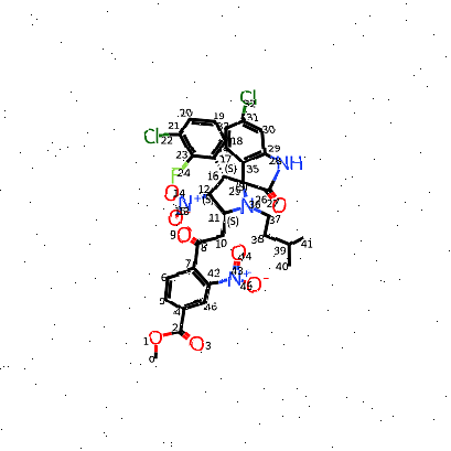 COC(=O)c1ccc(C(=O)C[C@H]2[C@@H]([N+](=O)[O-])[C@H](c3cccc(Cl)c3F)[C@]3(C(=O)Nc4cc(Cl)ccc43)N2CCC(C)C)c([N+](=O)[O-])c1